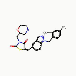 O=C1SC(=Cc2ccc3c(cnn3Cc3ccc(C(F)(F)F)cc3C(F)(F)F)c2)C(=O)N1C[C@@H]1CNCCO1